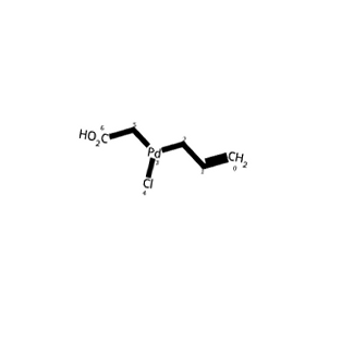 C=C[CH2][Pd]([Cl])[CH2]C(=O)O